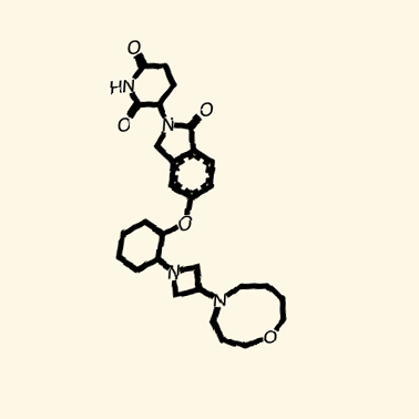 O=C1CCC(N2Cc3cc(OC4CCCCC4N4CC(N5CCCCOCCC5)C4)ccc3C2=O)C(=O)N1